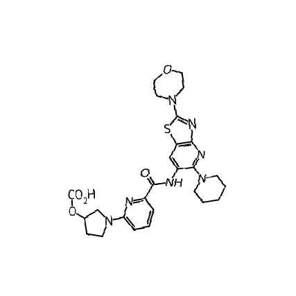 O=C(O)OC1CCN(c2cccc(C(=O)Nc3cc4sc(N5CCOCC5)nc4nc3N3CCCCC3)n2)C1